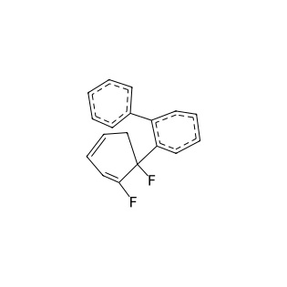 FC1=CC=CCC1(F)c1ccccc1-c1ccccc1